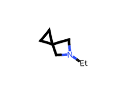 CCN1CC2(CC2)C1